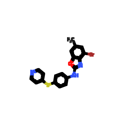 FC(F)(F)c1cc(Br)c2nc(Nc3ccc(Sc4ccncc4)cc3)oc2c1